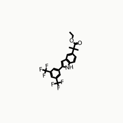 CCOC(=O)C(C)(C)c1ccc2[nH]c(-c3cc(C(F)(F)F)cc(C(F)(F)F)c3)cc2c1